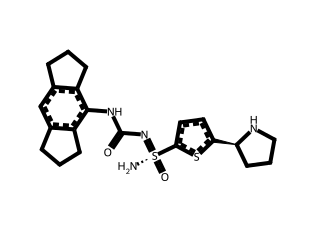 N[S@](=O)(=NC(=O)Nc1c2c(cc3c1CCC3)CCC2)c1ccc([C@@H]2CCCN2)s1